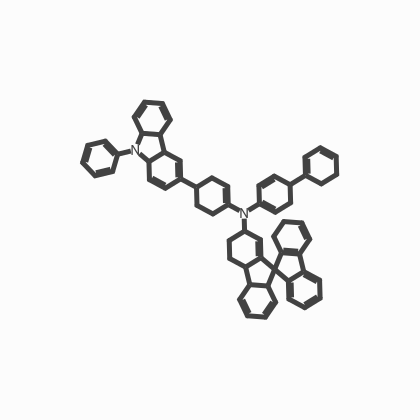 C1=CCCC(C2C=CC(N(C3=CCC(C4=CC5C6C=CC=CC6N(c6ccccc6)C5C=C4)CC3)C3C=C4C(CC3)C3C=CC=CC3C43C4=C(C=CCC4)c4ccccc43)=CC2)=C1